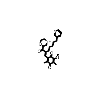 COC1=C(C)C(=O)C(C)=C(/C=C(\CCCCCc2cccnc2)C(=O)C2CNCCO2)C1=O